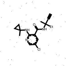 C#CC(C)(CC)NC(=O)c1cc(Cl)cnc1NC1(C)CC1